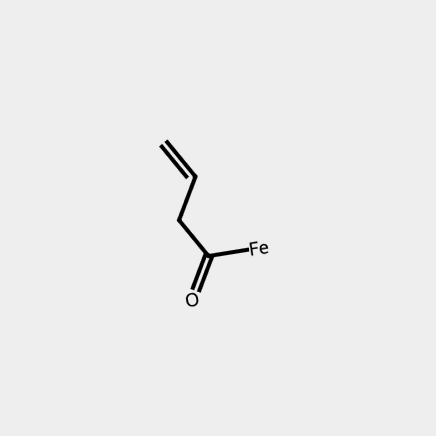 C=CC[C](=O)[Fe]